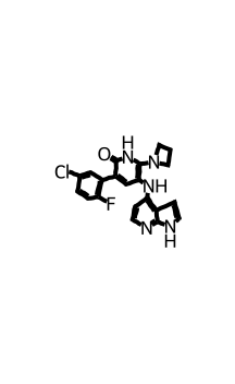 O=c1[nH]c(N2CCC2)c(Nc2ccnc3[nH]ccc23)cc1-c1cc(Cl)ccc1F